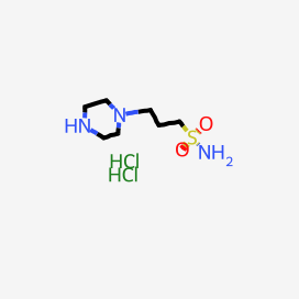 Cl.Cl.NS(=O)(=O)CCCN1CCNCC1